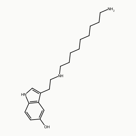 NCCCCCCCCCNCCc1c[nH]c2ccc(O)cc12